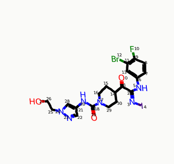 O=C(/C(=N/I)Nc1ccc(F)c(Br)c1)C1CCN(C(=O)Nc2cnn(CCO)c2)CC1